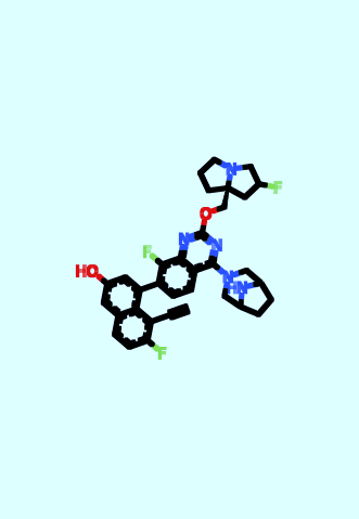 C#Cc1c(F)ccc2cc(O)cc(-c3ccc4c(N5CC6CCC(C5)N6)nc(OC[C@@]56CCCN5CC(F)C6)nc4c3F)c12